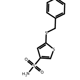 NS(=O)(=O)c1csc(SCc2ccccc2)c1